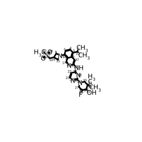 CC(C)c1ccc(N2CC(CS(C)(=O)=O)C2)c2cnc(Nc3ccnc(N4C[C@H](F)[C@H](O)C(C)(C)C4)n3)cc12